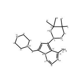 CC1(C)COB(c2cc(CN3CCOCC3)n3ncnc(N)c23)OC1(C)C